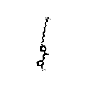 CCCCCCCCCCSc1ccc(C(=O)C=Cc2cccc(O)c2)cc1